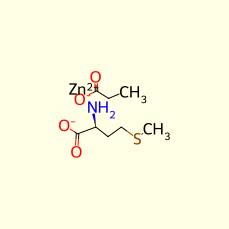 CCC(=O)[O-].CSCC[C@H](N)C(=O)[O-].[Zn+2]